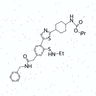 CCNSc1cc(CC(=O)NCc2ccccc2)ccc1-c1cnc(C2CCC(NC(=O)OC(C)C)CC2)s1